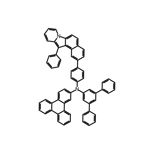 c1ccc(-c2cc(-c3ccccc3)cc(N(c3ccc(-c4ccc5ccc6c(c(-c7ccccc7)c7ccccn76)c5c4)cc3)c3ccc4c5ccccc5c5ccccc5c4c3)c2)cc1